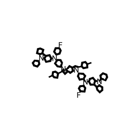 Cc1ccc(-c2cc3cc4c(cc(-c5ccc(C)cc5)n4-c4ccc(N(c5ccc(F)cc5)c5ccc6c(c5)c5ccccc5n6-c5ccccc5)cc4)cc3n2-c2ccc(N(c3ccc(F)cc3)c3ccc4c(c3)c3ccccc3n4-c3ccccc3)cc2)cc1